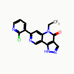 O=c1c2cn[nH]c2c2cnc(-c3cccnc3Cl)cc2n1CC(F)(F)F